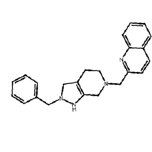 c1ccc(CN2CC3=C(CN(Cc4ccc5ccccc5n4)CC3)N2)cc1